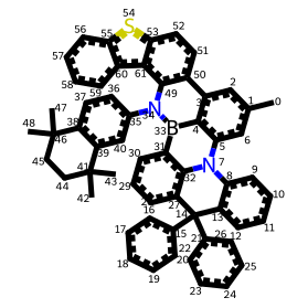 Cc1cc2c3c(c1)N1c4ccccc4C(c4ccccc4)(c4ccccc4)c4cccc(c41)B3N(c1ccc3c(c1)C(C)(C)CCC3(C)C)c1c-2ccc2sc3ccccc3c12